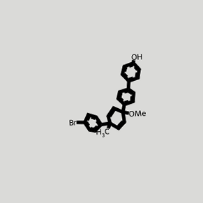 COC1(c2ccc(-c3ccc(O)cc3)cc2)C=CC(C)(c2ccc(Br)cc2)C=C1